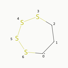 [CH]1CCSSSS1